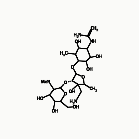 C=C(N)NC1C(O)C(C)C(OC2OC(C)C(O)(CN)[C@@H]2OC2OC(CO)C(O)C(O)C2NC)C(O)C1O